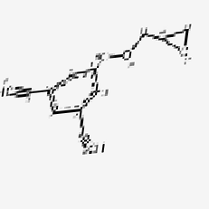 C#Cc1cc(C#C)cc(OOCC2CO2)c1